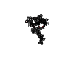 COc1cc(COC(=O)N[C@@]2(C)C[C@H](O[C@H]3[C@H](Oc4c5cc6cc4Oc4ccc(cc4Cl)[C@@H](O)[C@@H]4NC(=O)[C@H](NC(=O)[C@@H]6NC(=O)[C@H](CC(N)=O)NC(=O)[C@H](NC(=O)[C@@H](CC(C)C)N(C)C(=O)OCc6cc(OC)c(OC)cc6[N+](=O)[O-])[C@H](O)c6ccc(c(C)c6)O5)c5ccc(O)c(c5)-c5c(O)cc(O)cc5[C@@H](C(=O)NC5C6CC7CC(C6)CC5C7)NC4=O)O[C@H](CO)[C@@H](O)[C@@H]3O)O[C@@H](C)[C@H]2O)c([N+](=O)[O-])cc1OC